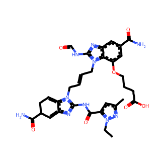 CCn1nc(C)cc1C(=O)Nc1nc2c(n1C/C=C/Cn1c(NC=O)nc3cc(C(N)=O)cc(OCCCC(=O)O)c31)=CCC(C(N)=O)C=2